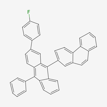 Fc1ccc(-c2ccc3c(-c4ccccc4)c4ccccc4c(-c4ccc5c(ccc6ccccc65)c4)c3c2)cc1